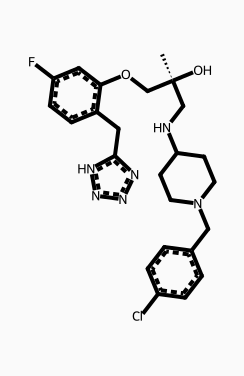 C[C@](O)(CNC1CCN(Cc2ccc(Cl)cc2)CC1)COc1cc(F)ccc1Cc1nnn[nH]1